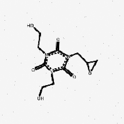 O=c1n(CCO)c(=O)n(CC2CO2)c(=O)n1CCO